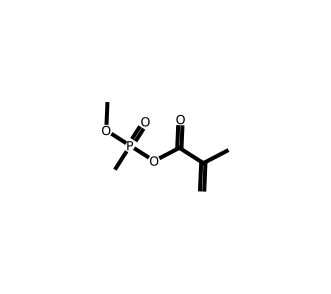 C=C(C)C(=O)OP(C)(=O)OC